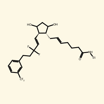 CCNC(=O)CCC/C=C/C[C@H]1C(O)CC(O)[C@@H]1/C=C/C(F)(F)CCc1cccc(C(F)(F)F)c1